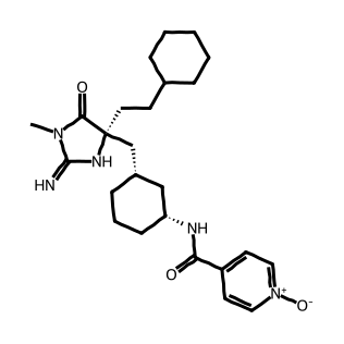 CN1C(=N)N[C@](CCC2CCCCC2)(C[C@H]2CCC[C@@H](NC(=O)c3cc[n+]([O-])cc3)C2)C1=O